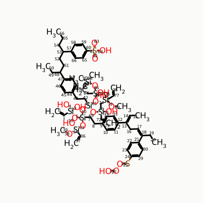 C=C[Si](O)(O)O[Si](CCc1ccc(C(=CC)CC=C(CC)c2ccc(SOOO)cc2)cc1)(O[Si](O)(C=C)OC)O[Si](CCc1ccc(C(CC)CCC(CCC)c2ccc(S(=O)(=O)O)cc2)cc1)(O[Si](O)(C=C)C[Si](O)(C=C)OC)O[Si](O)(C=C)O[Si](C)(C)C